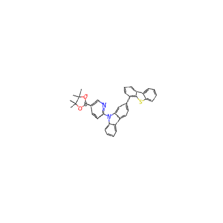 CC1(C)OB(c2ccc(-n3c4ccccc4c4ccc(-c5cccc6c5sc5ccccc56)cc43)nc2)OC1(C)C